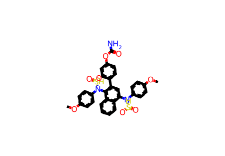 COc1ccc(N(c2cc(-c3ccc(OC(N)=O)cc3)c(N(c3ccc(OC)cc3)[SH](=O)=O)c3ccccc23)[SH](=O)=O)cc1